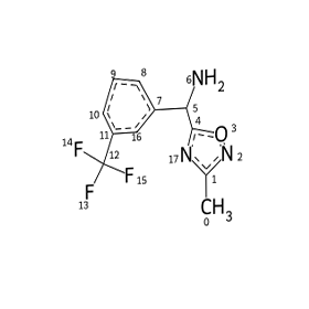 Cc1noc(C(N)c2cccc(C(F)(F)F)c2)n1